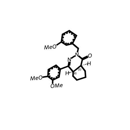 COc1cccc(CN2N=C(c3ccc(OC)c(OC)c3)[C@@H]3CCCC[C@@H]3C2=O)c1